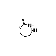 C=C1N=CCCNN1